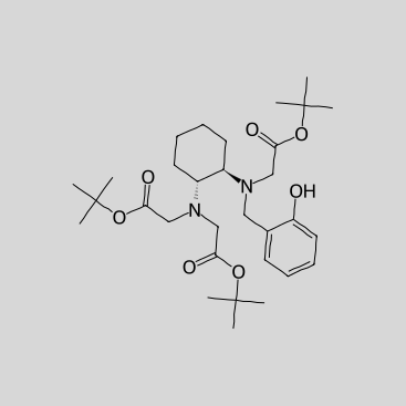 CC(C)(C)OC(=O)CN(CC(=O)OC(C)(C)C)[C@@H]1CCCC[C@H]1N(CC(=O)OC(C)(C)C)Cc1ccccc1O